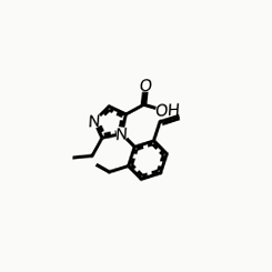 C=Cc1cccc(CC)c1-n1c(C(=O)O)cnc1CC